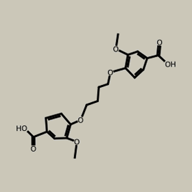 COc1cc(C(=O)O)ccc1OCCCCOc1ccc(C(=O)O)cc1OC